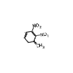 C=C1CC=[C]C([N+](=O)[O-])=C1[N+](=O)[O-]